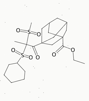 CCOC(=O)C12CC3CC(C1)CC(C(=O)C(C)(S(C)(=O)=O)S(=O)(=O)C1CCCCC1)(C3)C2